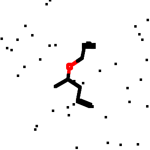 [CH]=CCC(C)OCCCCC